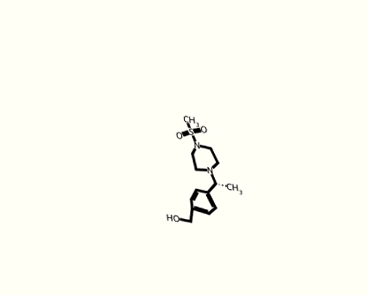 C[C@H](c1ccc(CO)cc1)N1CCN(S(C)(=O)=O)CC1